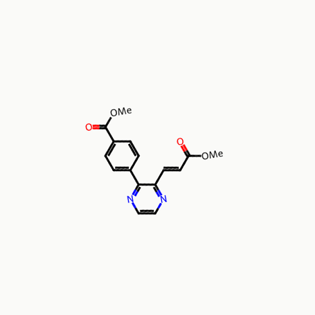 COC(=O)C=Cc1nccnc1-c1ccc(C(=O)OC)cc1